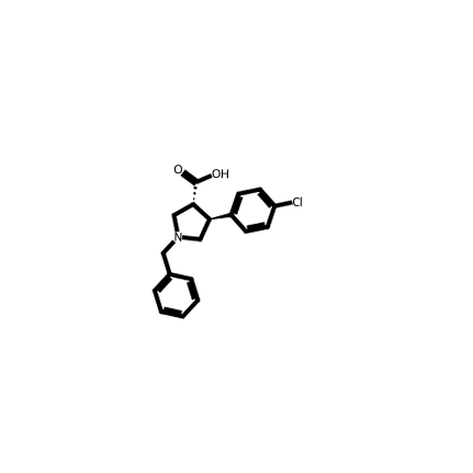 O=C(O)[C@H]1CN(Cc2ccccc2)C[C@@H]1c1ccc(Cl)cc1